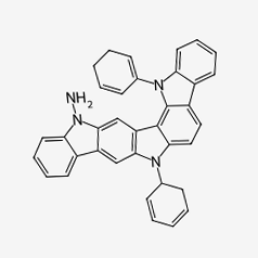 Nn1c2ccccc2c2cc3c(cc21)c1c2c(ccc1n3C1C=CC=CC1)c1ccccc1n2C1=CCCC=C1